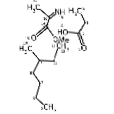 CCC(=O)O.CCCCC(C)CC.COC(=O)C(C)=N